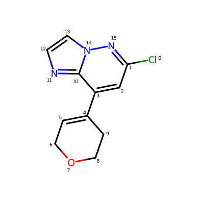 Clc1cc(C2=CCOCC2)c2nccn2n1